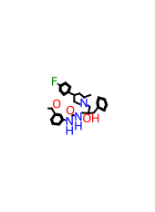 CC(=O)c1cccc(NC(=O)NC[C@](O)(Cc2ccccc2)CN2CCC(c3ccc(F)cc3)CC2C)c1